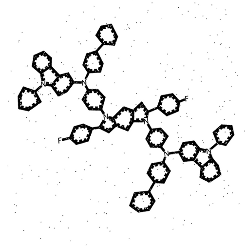 Fc1ccc(-c2cc3cc4c(cc(-c5ccc(F)cc5)n4-c4ccc(N(c5ccc(-c6ccccc6)cc5)c5ccc6c(c5)c5ccccc5n6-c5ccccc5)cc4)cc3n2-c2ccc(N(c3ccc(-c4ccccc4)cc3)c3ccc4c(c3)c3ccccc3n4-c3ccccc3)cc2)cc1